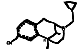 [C-]#[N+]c1ccc2c(c1)[C@@]1(C)CCN(CC3CC3)C(C2)C1C